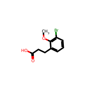 COc1c(Br)cccc1CCC(=O)O